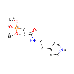 CCOP(=O)(CCC(=O)NCCc1ccncc1)OCC